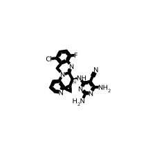 N#Cc1c(N)nc(N)nc1N[C@H](C1=Nc2c(F)ccc(Cl)c2CN1c1cccnc1)C1CC1